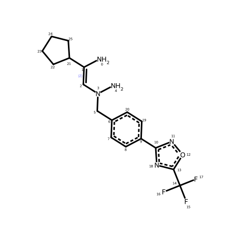 N/C(=C\N(N)Cc1ccc(-c2noc(C(F)(F)F)n2)cc1)C1CCCC1